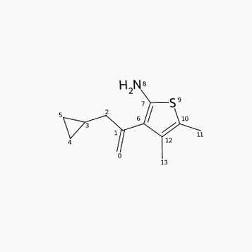 C=C(CC1CC1)c1c(N)sc(C)c1C